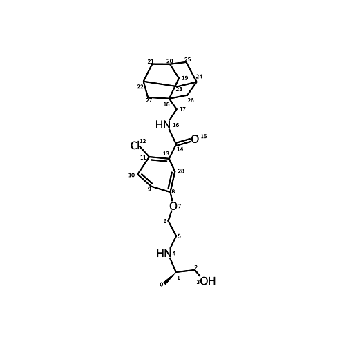 C[C@H](CO)NCCOc1ccc(Cl)c(C(=O)NCC23CC4CC(CC(C4)C2)C3)c1